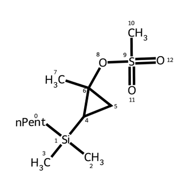 CCCCC[Si](C)(C)C1CC1(C)OS(C)(=O)=O